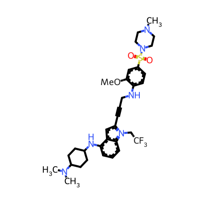 COc1cc(S(=O)(=O)N2CCN(C)CC2)ccc1NCC#Cc1cc2c(NC3CCC(N(C)C)CC3)cccc2n1CC(F)(F)F